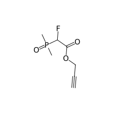 C#CCOC(=O)C(F)P(C)(C)=O